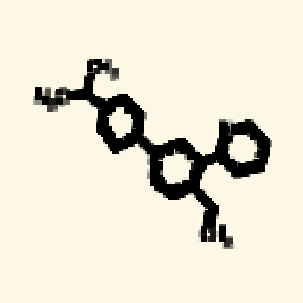 C=Cc1ccc(-c2ccc(C(C)C)cc2)cc1-c1ccccn1